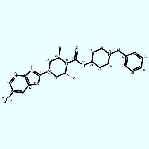 C[C@@H]1CN(c2nc3ncc(C(F)(F)F)cc3s2)C[C@@H](C)N1C(=O)OC1CCN(Cc2ccccc2)CC1